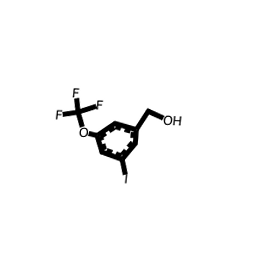 OCc1cc(I)cc(OC(F)(F)F)c1